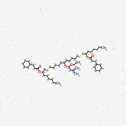 CCCCCCC(CSCCCCCC(CCCCCSCC(CCCCCC)OC(=O)CCC1CCCCC1)OC(CN(C)C)OCC)OC(=O)CCC1CCCCC1